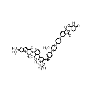 [2H]C([2H])([2H])Oc1ncc(-c2ccnc(N3CCn4c(cc5c4CC(C)(C)C5)C3=O)c2[C@@H](C)O)cc1Nc1ccc(N2CCN(C3CCN(c4ccc5c(c4)C(=O)N([C@H]4CCC(=O)NC4=O)C5=O)CC3)C[C@@H]2C)cn1